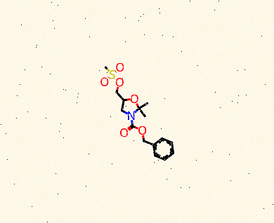 CC1(C)OC(COS(C)(=O)=O)CN1C(=O)OCc1ccccc1